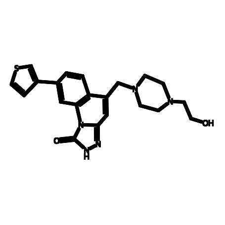 O=c1[nH]nc2cc(CN3CCN(CCO)CC3)c3ccc(-c4ccsc4)cc3n12